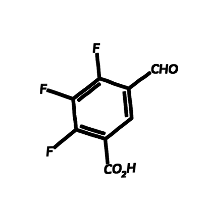 O=Cc1cc(C(=O)O)c(F)c(F)c1F